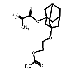 C=C(C)C(=O)OC12CC3CC(CC(OCCOC(=O)C(F)(F)F)(C3)C1)C2